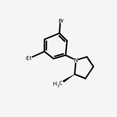 C[CH]c1cc(Br)cc(N2CCC[C@H]2C)c1